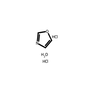 Cl.Cl.O.c1cocn1